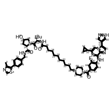 Cc1ncsc1-c1ccc(CNC(=O)[C@@H]2C[C@@H](O)CN2C(=O)[C@@H](NC(=O)CCCCCCCCCCN2CCN(C(=O)c3ccc(Nc4nc(C5CC5)cn5c(-c6cn[nH]c6)cnc45)c(F)c3)CC2)C(C)(C)C)cc1